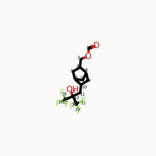 O=COCC1CC2CC1CC2CC(O)(C(F)(F)F)C(F)(F)F